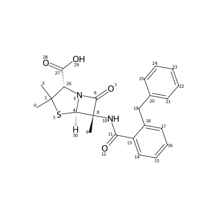 CC1(C)S[C@H]2N(C(=O)[C@]2(C)NC(=O)c2ccccc2Cc2ccccc2)[C@H]1C(=O)O